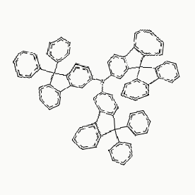 c1ccc(C2(c3ccccc3)c3ccccc3-c3cc(N(c4ccc5c(c4)-c4ccccc4C5(c4ccccc4)c4ccccc4)c4ccc5c(c4)C4(c6ccccc6-c6ccccc64)c4ccccc4-5)ccc32)cc1